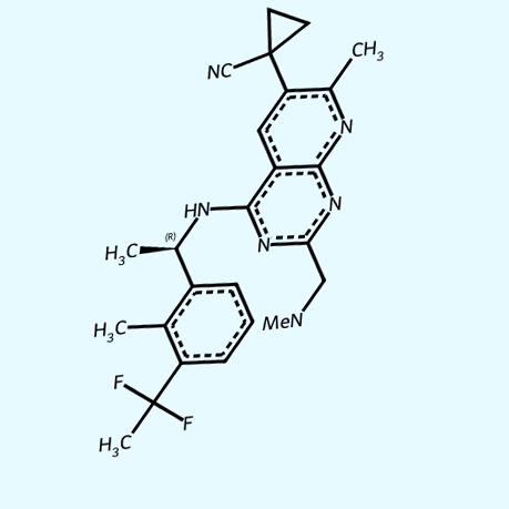 CNCc1nc(N[C@H](C)c2cccc(C(C)(F)F)c2C)c2cc(C3(C#N)CC3)c(C)nc2n1